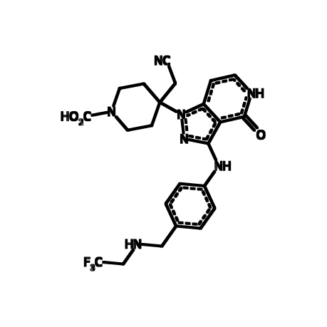 N#CCC1(n2nc(Nc3ccc(CNCC(F)(F)F)cc3)c3c(=O)[nH]ccc32)CCN(C(=O)O)CC1